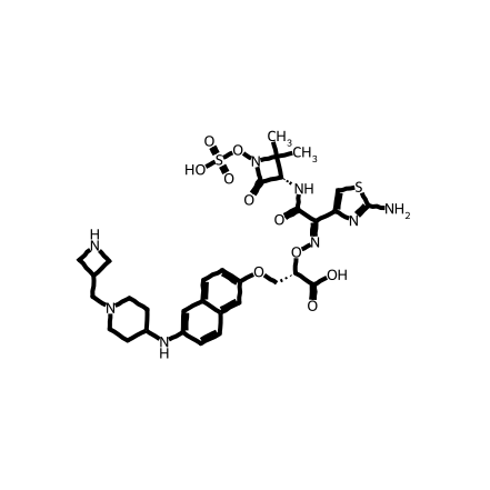 CC1(C)[C@H](NC(=O)/C(=N\O[C@@H](COc2ccc3cc(NC4CCN(CC5CNC5)CC4)ccc3c2)C(=O)O)c2csc(N)n2)C(=O)N1OS(=O)(=O)O